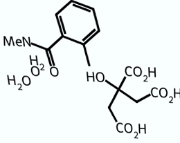 CNC(=O)c1ccccc1C.O.O.O=C(O)CC(O)(CC(=O)O)C(=O)O